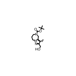 CC(C)(C)OC(=O)N1CCCn2nc(CO)c(F)c2C1